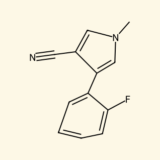 Cn1cc(C#N)c(-c2ccccc2F)c1